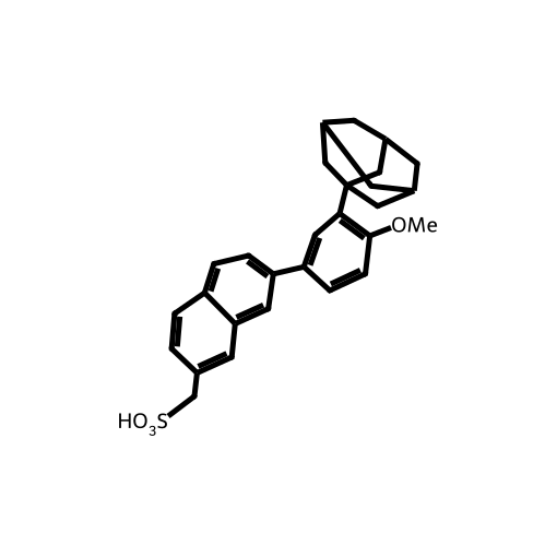 COc1ccc(-c2ccc3ccc(CS(=O)(=O)O)cc3c2)cc1C12CC3CC(CC(C3)C1)C2